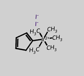 [CH3][Ir+2]([CH3])([CH3])([CH3])([CH3])[C]1=CC=CC1.[I-].[I-]